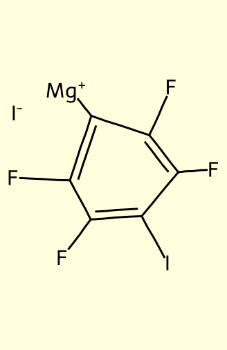 Fc1c(F)c(I)c(F)c(F)[c]1[Mg+].[I-]